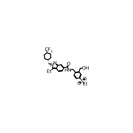 CCc1c2ccc(C(=O)NCc3ccc(S(=O)(=O)CC)cc3CO)cc2nn1C[C@H]1CC[C@H](C(F)(F)F)CC1